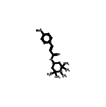 COc1ccc(/C=C/C(=O)OC2CC(C)(C)N(C)C(C)(C)C2)cc1